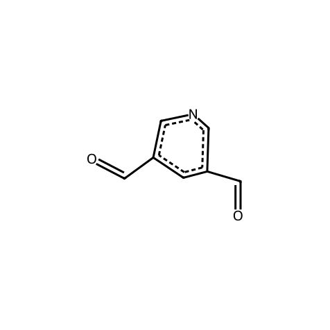 O=Cc1cncc(C=O)c1